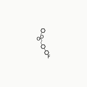 O=C(CCc1ccc(-c2ccc(F)cc2)cc1)OCc1ccccc1